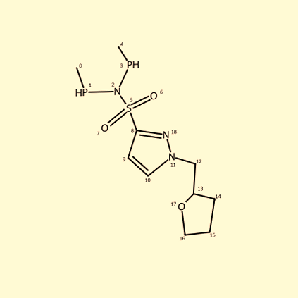 CPN(PC)S(=O)(=O)c1ccn(CC2CCCO2)n1